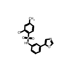 Cc1ccc(S(=O)(=O)Nc2cccc(-c3cnco3)c2)c(Cl)c1